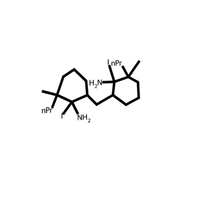 CCCC1(C)CCCC(CC2CCCC(C)(CCC)C2(N)I)C1(N)I